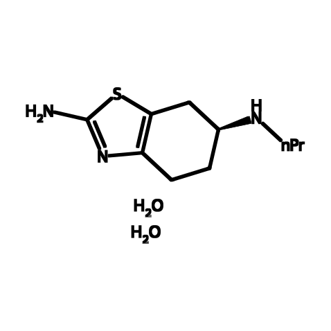 CCCN[C@H]1CCc2nc(N)sc2C1.O.O